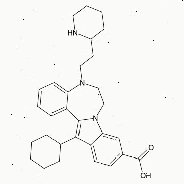 O=C(O)c1ccc2c(C3CCCCC3)c3n(c2c1)CCN(CCC1CCCCN1)c1ccccc1-3